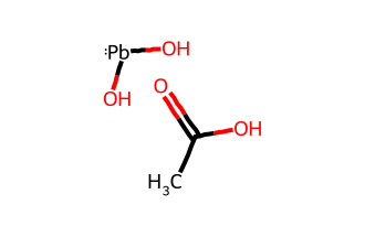 CC(=O)O.[OH][Pb][OH]